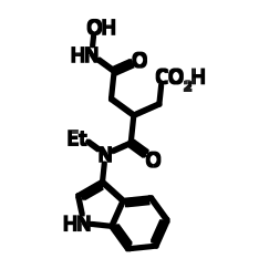 CCN(C(=O)C(CC(=O)O)CC(=O)NO)c1c[nH]c2ccccc12